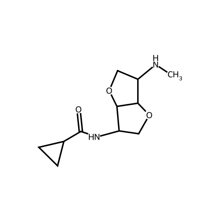 CNC1COC2C(NC(=O)C3CC3)COC12